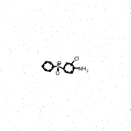 Nc1ccc(S(=O)(=O)c2ccccc2)cc1Cl